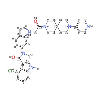 Cn1c2c(c3c(Cl)cccc31)C(=O)N(c1ccc3ccn(CC(=O)N4CCC5(CC4)CCN(c4ccncc4)CC5)c3c1)C2